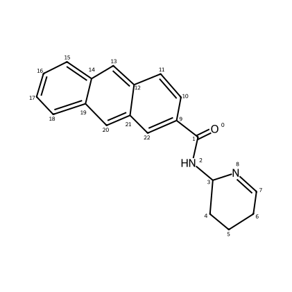 O=C(NC1CCCC=N1)c1ccc2cc3ccccc3cc2c1